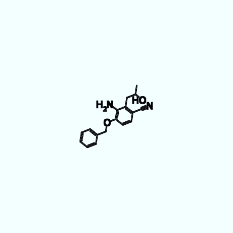 CC(O)Cc1c(C#N)ccc(OCc2ccccc2)c1N